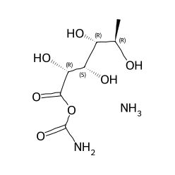 C[C@@H](O)[C@@H](O)[C@H](O)[C@@H](O)C(=O)OC(N)=O.N